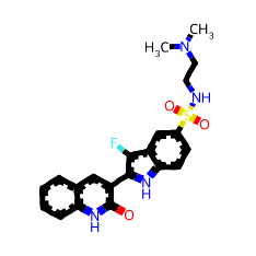 CN(C)CCNS(=O)(=O)c1ccc2[nH]c(-c3cc4ccccc4[nH]c3=O)c(F)c2c1